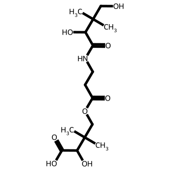 CC(C)(COC(=O)CCNC(=O)C(O)C(C)(C)CO)C(O)C(=O)O